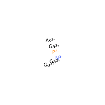 [As-3].[Ga+3].[Ga+3].[Ga+3].[N-3].[P-3]